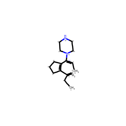 C=C(CC)C1=C(/C(=C\C)N2CCNCC2)CCC1